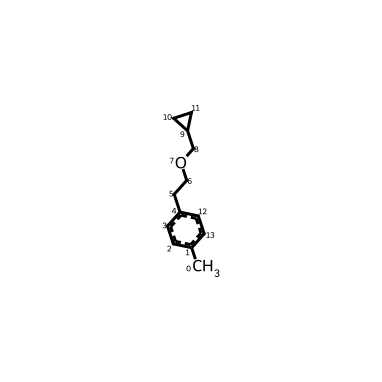 Cc1ccc(CCOCC2CC2)cc1